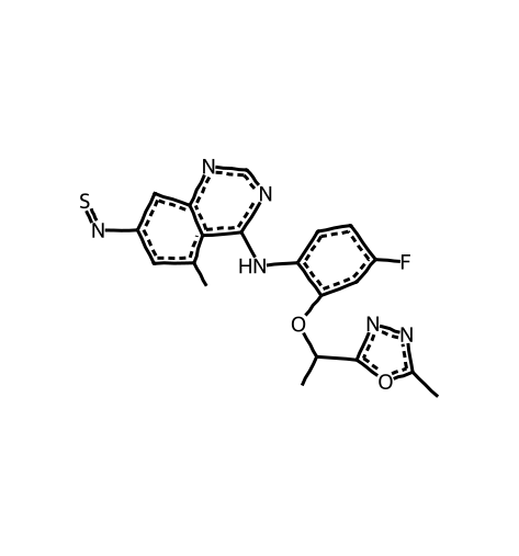 Cc1nnc(C(C)Oc2cc(F)ccc2Nc2ncnc3cc(N=S)cc(C)c23)o1